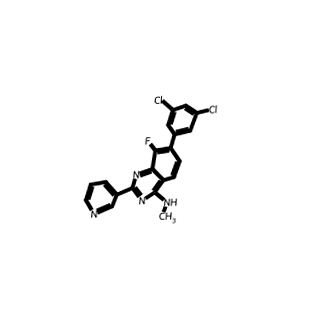 CNc1nc(-c2cccnc2)nc2c(F)c(-c3cc(Cl)cc(Cl)c3)ccc12